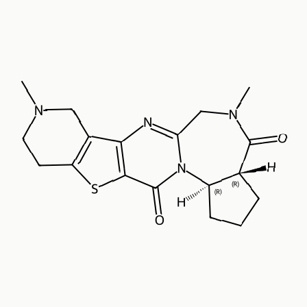 CN1CCc2sc3c(=O)n4c(nc3c2C1)CN(C)C(=O)[C@@H]1CCC[C@H]14